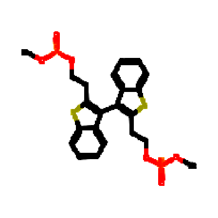 CCO[PH](=O)OCCc1sc2ccccc2c1-c1c(CCO[PH](=O)OCC)sc2ccccc12